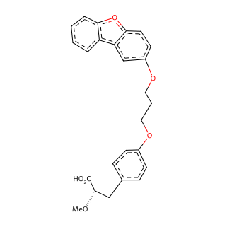 CO[C@@H](Cc1ccc(OCCCOc2ccc3oc4ccccc4c3c2)cc1)C(=O)O